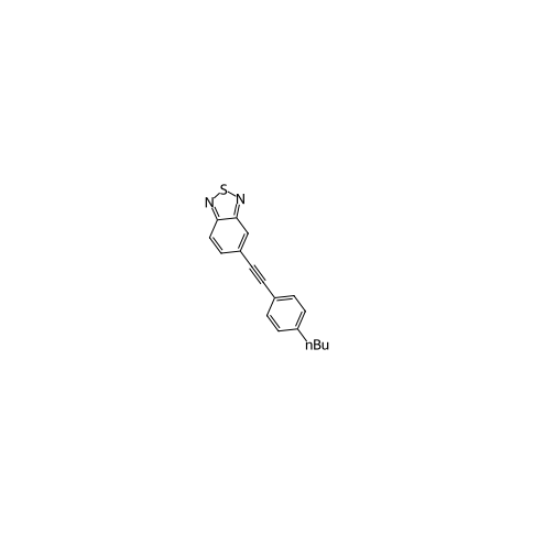 CCCCc1ccc(C#Cc2ccc3nsnc3c2)cc1